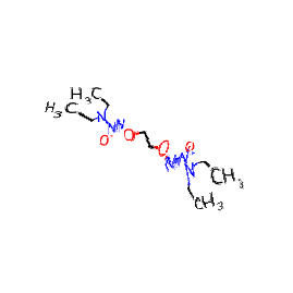 CCN(CC)/[N+]([O-])=N/OCCO/N=[N+](\[O-])N(CC)CC